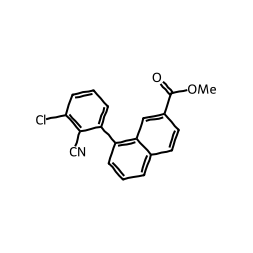 COC(=O)c1ccc2cccc(-c3cccc(Cl)c3C#N)c2c1